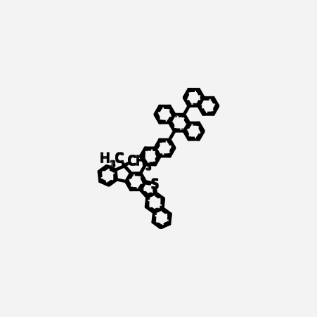 CC1(C)c2ccccc2-c2cc3c(sc4cc5ccccc5cc43)c(-c3ccc4cc(-c5c6ccccc6c(-c6cccc7ccccc67)c6ccccc56)ccc4c3)c21